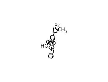 Cc1cc(C2CCN(S(=O)(=O)C3(C(=O)O)CCN(Cc4ccccc4)CC3)CC2)ccc1Br